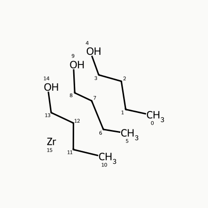 CCCCO.CCCCO.CCCCO.[Zr]